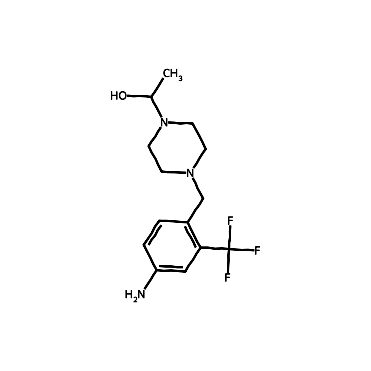 CC(O)N1CCN(Cc2ccc(N)cc2C(F)(F)F)CC1